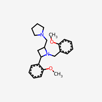 COc1ccccc1CN1C(CN2CCCC2)CC1c1ccccc1OC